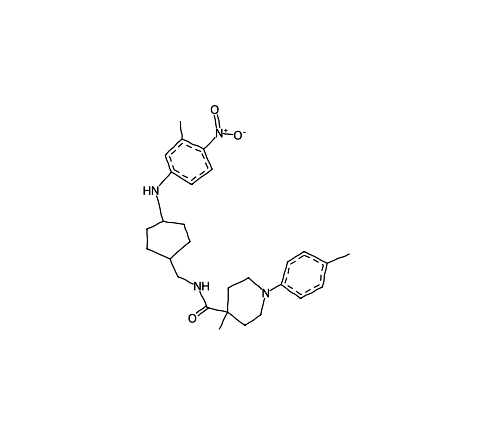 Cc1ccc(N2CCC(C)(C(=O)NCC3CCC(Nc4ccc([N+](=O)[O-])c(C)c4)CC3)CC2)cc1